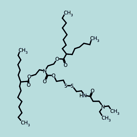 CCCCCCCCC(CCCCCC)C(=O)OCCN(CCOC(=O)C(CCCCCC)CCCCCCCC)C(=O)OCCSSCCNC(=O)CCN(CC)CC